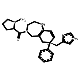 CN1CCCC1C(=O)N1CCNC2=C(C1)C[C@@](Cc1c[nH]cn1)(c1ccccc1)C=C2